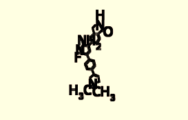 CC(C)N1CC=C(c2ccc(-c3cc(-c4ccc5c(c4)CCNC5=O)c(N)nc3F)cc2)C1